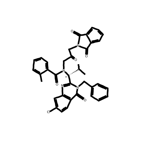 Cc1ccccc1C(=O)N(CC(=O)CN1C(=O)c2ccccc2C1=O)[C@@H](c1nc2cc(Cl)ccc2c(=O)n1Cc1ccccc1)C(C)C